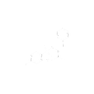 COC(=O)[C@@H](Cc1ccccc1)NS(=O)(=O)c1ccc(I)cc1